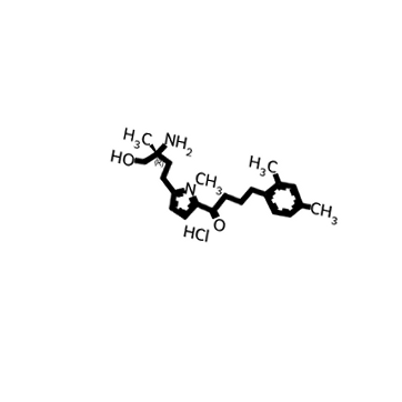 Cc1ccc(CCCC(=O)c2ccc(CC[C@@](C)(N)CO)n2C)c(C)c1.Cl